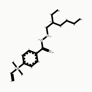 C=C[Si](C)(C)c1ccc(C(=O)OO[CH]C(CC)CCCC)cc1